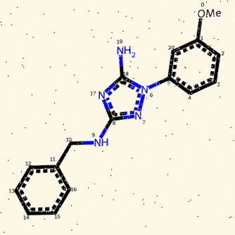 COc1cccc(-n2nc(NCc3ccccc3)nc2N)c1